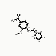 COc1cc([N+](=O)[O-])ccc1OCc1cccs1